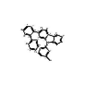 Cc1cccc(-n2c3ccccc3c3ccc(-c4ccccc4-c4ccccc4)cc32)c1